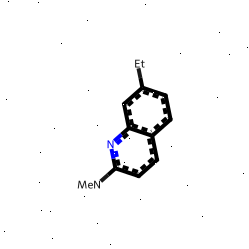 [CH2]Cc1ccc2ccc(NC)nc2c1